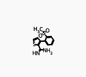 CS(=O)(=O)c1ccccc1-c1ccsc1C(=N)N